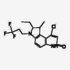 CCC1C(C)c2c(ccc3[nH]c(=O)cc(Cl)c23)N1CCC(F)(F)F